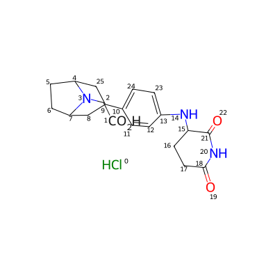 Cl.O=C(O)CN1C2CCC1CC(c1ccc(NC3CCC(=O)NC3=O)cc1)C2